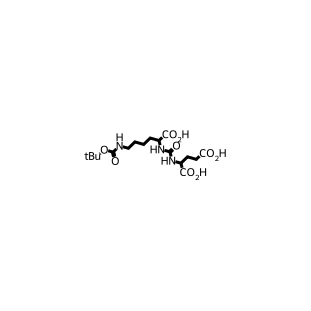 CC(C)(C)OC(=O)NCCCCC(NC(=O)NC(CCC(=O)O)C(=O)O)C(=O)O